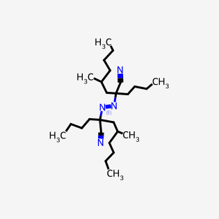 CCCCC(C)CC(C#N)(CCCC)/N=N/C(C#N)(CCCC)CC(C)CCCC